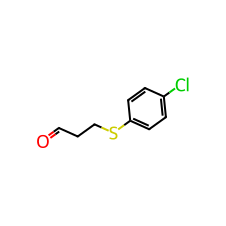 O=CCCSc1ccc(Cl)cc1